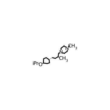 CC(C)O[C@H]1CC[C@H](CC[C@H](C)CN2CCN(C)CC2)CC1